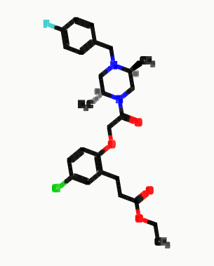 CCOC(=O)CCc1cc(Cl)ccc1OCC(=O)N1C[C@H](C)N(Cc2ccc(F)cc2)C[C@H]1C